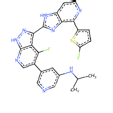 CC(C)Nc1cncc(-c2cnc3[nH]nc(-c4nc5c(-c6ccc(F)s6)nccc5[nH]4)c3c2F)c1